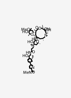 CNC(=O)c1ccc(-c2ccc([C@@H](O)[C@@H](CF)NC(=O)CCN(C)[C@H]3C[C@@H](C)O[C@@H](O[C@@H]4[C@@H](C)C([C@H]5C[C@@](C)(OC)[C@@H](O)[C@H](C)O5)[C@@H](C)C(=O)O[C@H](I)[C@@](C)(O)[C@H](O)[C@@H](C)N(C)C[C@H](C)C[C@@]4(C)O)[C@@H]3O)cc2)cn1